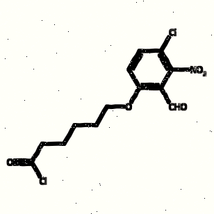 O=Cc1c(OCCCCCC(=O)Cl)ccc(Cl)c1[N+](=O)[O-]